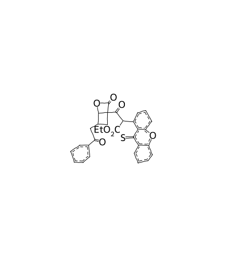 CCOC(=O)C(C(=O)C12CC(CC(=O)c3ccccc3)C1OC2=O)c1cccc2oc3ccccc3c(=S)c12